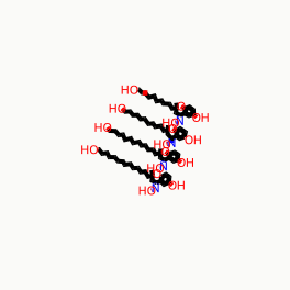 CC1(CCCCCCCCCCCCCCO)CC(=NO)c2cc(O)ccc2O1.CC1(CCCCCCCCCCCCCO)CC(=NO)c2cc(O)ccc2O1.CC1(CCCCCCCCCCCO)CC(=NO)c2cc(O)ccc2O1.CC1(CCCCCCCCCCO)CC(=NO)c2cc(O)ccc2O1